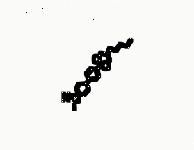 CCCCCC1COC(c2ccc(C3CCC(C#N)(CCC)CC3)cc2)OC1